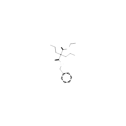 CCCC(CCC)(C(=O)OCC)C(=O)OCc1ccccc1